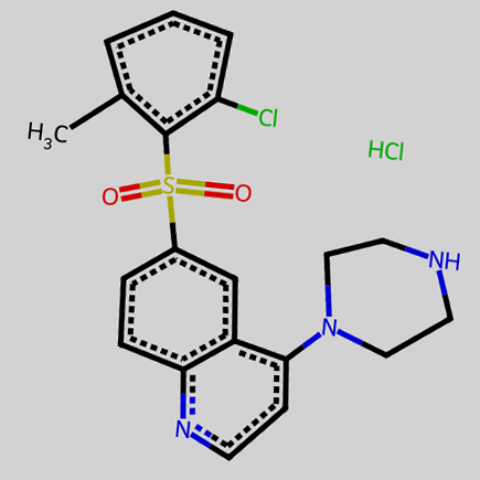 Cc1cccc(Cl)c1S(=O)(=O)c1ccc2nccc(N3CCNCC3)c2c1.Cl